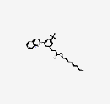 C=C1C=CC=C/C1=N/N(C)c1cc(CCC(=O)OCCCCCCCC)cc(C(C)(C)C)c1